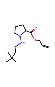 C=CCOC(=O)C1CCCN1NCCC(C)(C)C